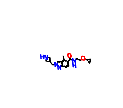 Cc1c(C(=O)NCCOC2CC2)ccc2nn(CC3CNC3)cc12